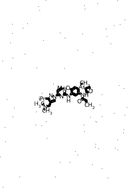 C=CC(=O)Nc1cc(Nc2nccc(-n3cc(CN(C)C)c(C(C)C)n3)n2)c(OC)cc1[As](C)C1COC1